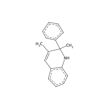 CC1=Cc2ccccc2NC1(C)c1ccccc1